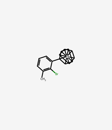 Cc1cccc([C]23[CH]4[CH]5[CH]6[CH]2[Fe]56432789[CH]3[CH]2[CH]7[CH]8[CH]39)c1Br